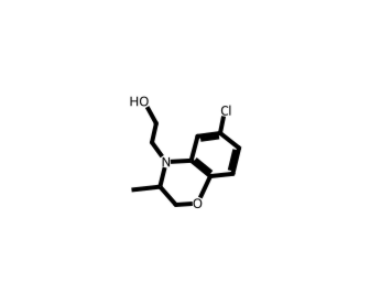 CC1COc2ccc(Cl)cc2N1CCO